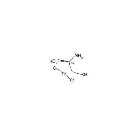 N[C@@H](CS)C(=O)O.[Cl][Zn][Cl]